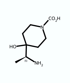 C[C@H](N)C1(O)CCN(C(=O)O)CC1